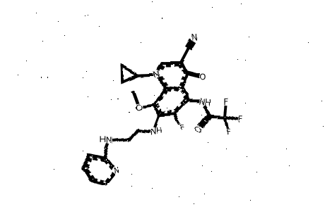 COc1c(NCCNc2ccccn2)c(F)c(NC(=O)C(F)(F)F)c2c(=O)c(C#N)cn(C3CC3)c12